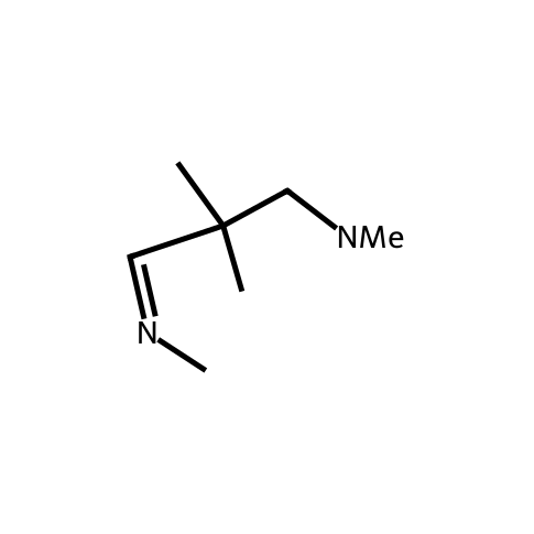 C/N=C\C(C)(C)CNC